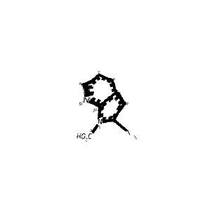 O=C(O)n1c(I)cc2cccnc21